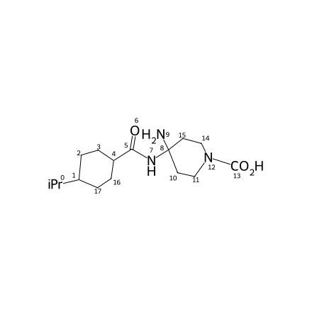 CC(C)C1CCC(C(=O)NC2(N)CCN(C(=O)O)CC2)CC1